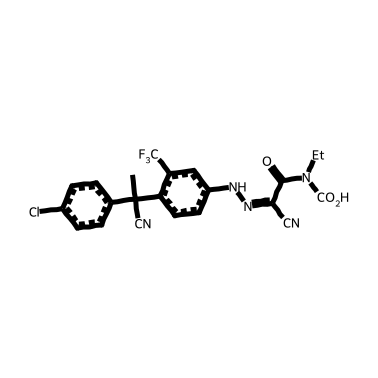 CCN(C(=O)O)C(=O)C(C#N)=NNc1ccc(C(C)(C#N)c2ccc(Cl)cc2)c(C(F)(F)F)c1